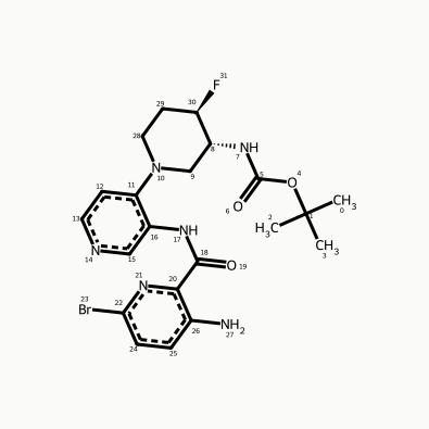 CC(C)(C)OC(=O)N[C@@H]1CN(c2ccncc2NC(=O)c2nc(Br)ccc2N)CC[C@H]1F